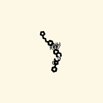 Cc1oc(-c2ccccc2)cc1CN1CCc2cc(S(=O)(=O)Nc3ccc(CCCC4CCCC4)cc3F)ccc2C1